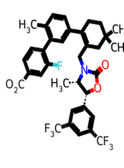 Cc1ccc(C2=C(CN3C(=O)O[C@H](c4cc(C(F)(F)F)cc(C(F)(F)F)c4)[C@@H]3C)CC(C)(C)CC2)cc1-c1ccc(C(=O)O)cc1F